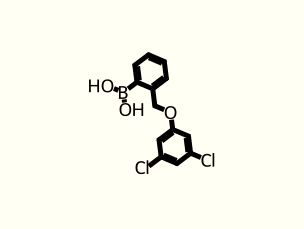 OB(O)c1ccccc1COc1cc(Cl)cc(Cl)c1